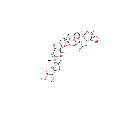 CCC(C(=O)O)[C@H]1CC[C@H](C)[C@H]([C@@H](C)[C@H](O)[C@H](C)C(=O)[C@H](CC)[C@H]2O[C@]3(C=C[C@@H](OC(C)=O)[C@]4(CC[C@@](C)([C@H]5CC[C@](O)(CC)[C@H](C)O5)O4)O3)[C@H](C)C[C@@H]2C)O1